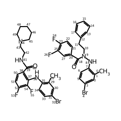 Cc1cc(Br)ccc1NN(CCc1ccccc1)C(=O)c1ccc(F)c(F)c1.Cc1cc(Br)ccc1Nc1c(C(=O)NCCN2CCCCC2)ccc(F)c1F